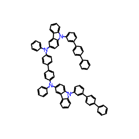 c1ccc(-c2ccc(-c3cccc(-n4c5ccccc5c5cc(N(c6ccccc6)c6ccc(-c7ccc(N(c8ccccc8)c8ccc9c(c8)c8ccccc8n9-c8cccc(-c9ccc(-c%10ccccc%10)cc9)c8)cc7)cc6)ccc54)c3)cc2)cc1